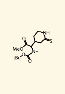 COC(=O)C(NC(=O)OC(C)(C)C)C1CCNC(=S)C1